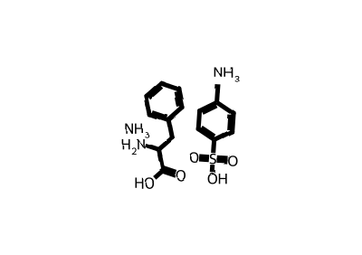 Cc1ccc(S(=O)(=O)O)cc1.N.N.NC(Cc1ccccc1)C(=O)O